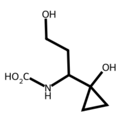 O=C(O)NC(CCO)C1(O)CC1